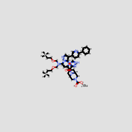 CC(C)(C)OC(=O)N1CC2CC(c3cc(N(COCC[Si](C)(C)C)COCC[Si](C)(C)C)n4ncc(-c5ccc(-c6ccccc6)nc5)c4n3)CC(C1)N2C(=O)c1nc[nH]n1